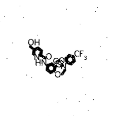 O=C(Nc1ccc2c(c1)S(=O)(=O)N(c1ccc(C(F)(F)F)cc1)CCO2)c1ccc(CO)cn1